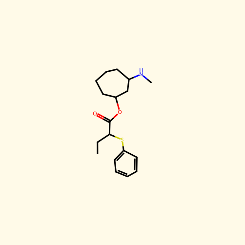 CCC(Sc1ccccc1)C(=O)OC1CCCCC(NC)C1